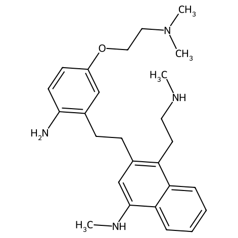 CNCCc1c(CCc2cc(OCCN(C)C)ccc2N)cc(NC)c2ccccc12